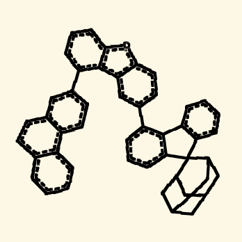 c1ccc2c(c1)-c1c(-c3ccc4oc5cccc(-c6ccc7c(ccc8ccccc87)c6)c5c4c3)cccc1C21C2CC3CC(C2)CC1C3